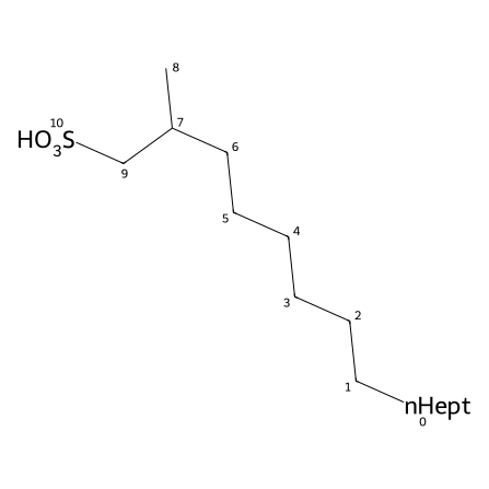 CCCCCCCCCCCCCC(C)CS(=O)(=O)O